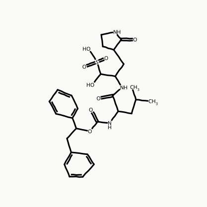 CC(C)CC(NC(=O)OC(Cc1ccccc1)c1ccccc1)C(=O)NC(CC1CCNC1=O)C(O)S(=O)(=O)O